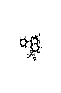 O=c1nc(-c2ccccc2)c2cc([N+](=O)[O-])ccc2[nH]1